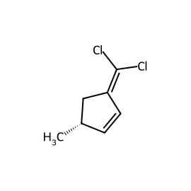 C[C@H]1C=CC(=C(Cl)Cl)C1